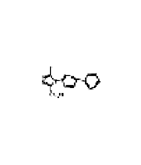 Cc1nnc(C(=O)O)n1-c1ccc(-c2ccccc2)cc1